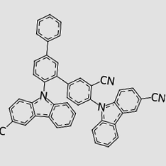 N#Cc1ccc2c(c1)c1ccccc1n2-c1ccc(-c2cc(-c3ccccc3)ccc2-n2c3ccccc3c3cc(C#N)ccc32)cc1C#N